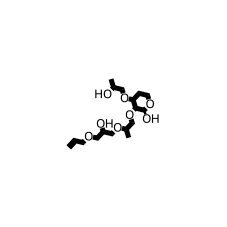 C=CCOCC(O)COC(C)COC1C(OCC(C)O)CCO[C@H]1O